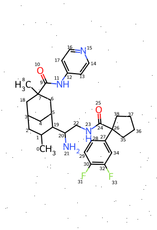 CC1CC2CC(CC(C)(C(=O)Nc3ccncc3)C2)C1C(N)CNC(=O)C1(c2ccc(F)c(F)c2)CCCC1